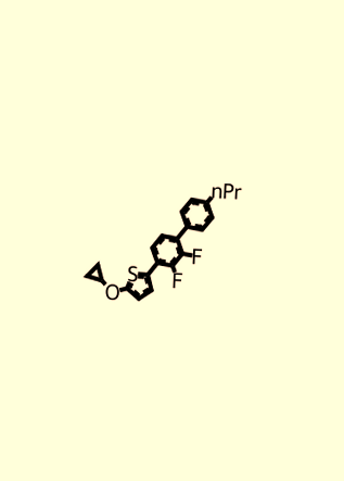 CCCc1ccc(-c2ccc(-c3ccc(OC4CC4)s3)c(F)c2F)cc1